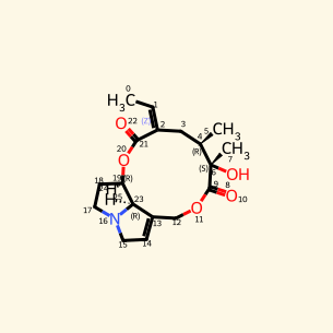 C/C=C1/C[C@@H](C)[C@](C)(O)C(=O)OCC2=CCN3CC[C@@H](OC1=O)[C@@H]23